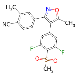 Cc1cc(-c2noc(C)c2-c2cc(F)c(S(C)(=O)=O)c(F)c2)ccc1C#N